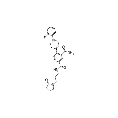 NC(=O)c1cc(C(=O)NCCCN2CCCC2=O)ccc1N1CCN(c2ccccc2F)CC1